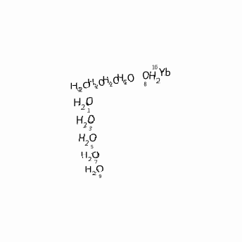 O.O.O.O.O.O.O.O.O.O.[Yb]